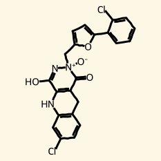 O=C1C2=C(Nc3cc(Cl)ccc3C2)C(O)=N[N+]1([O-])Cc1ccc(-c2ccccc2Cl)o1